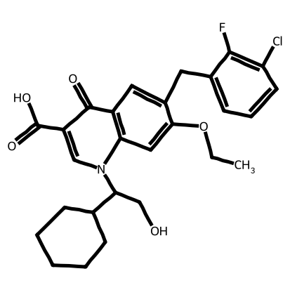 CCOc1cc2c(cc1Cc1cccc(Cl)c1F)c(=O)c(C(=O)O)cn2C(CO)C1CCCCC1